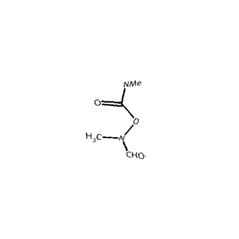 CNC(=O)ON(C)[C]=O